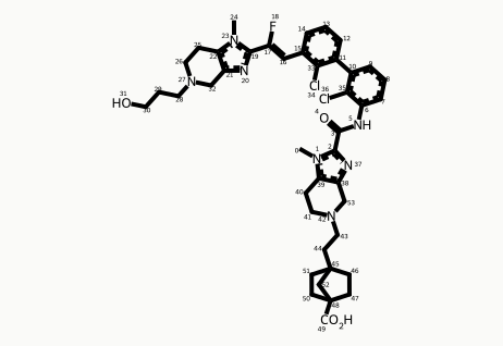 Cn1c(C(=O)Nc2cccc(-c3cccc(/C=C(\F)c4nc5c(n4C)CCN(CCCO)C5)c3Cl)c2Cl)nc2c1CCN(CCC13CCC(C(=O)O)(CC1)C3)C2